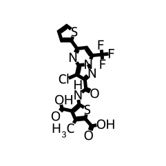 Cc1c(C(=O)O)sc(NC(=O)c2nn3c(C(F)(F)F)cc(-c4cccs4)nc3c2Cl)c1C(=O)O